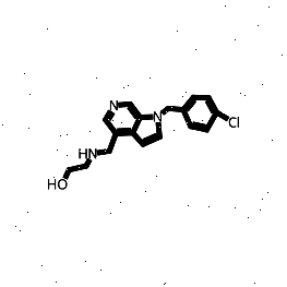 OCCNCc1cncc2c1ccn2Cc1ccc(Cl)cc1